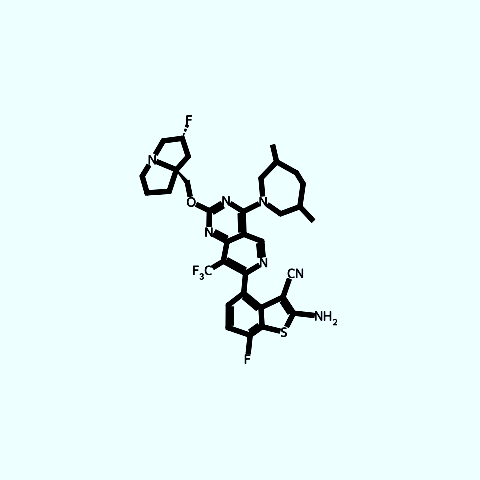 CC1CCC(C)CN(c2nc(OC[C@@]34CCCN3C[C@H](F)C4)nc3c(C(F)(F)F)c(-c4ccc(F)c5sc(N)c(C#N)c45)ncc23)C1